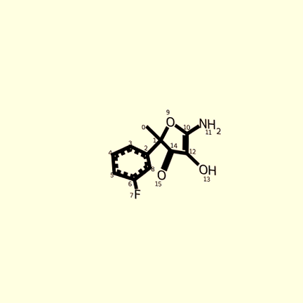 CC1(c2cccc(F)c2)OC(N)=C(O)C1=O